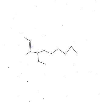 C/C=C(\C)C(CC)CCCCCC